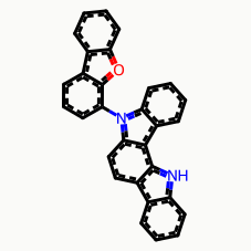 c1ccc2c(c1)[nH]c1c2ccc2c1c1ccccc1n2-c1cccc2c1oc1ccccc12